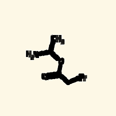 CC(C)CC(=O)OC(C)N